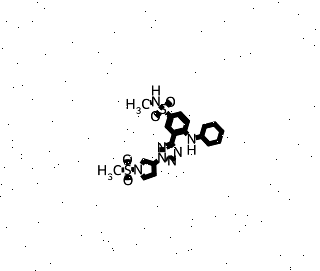 CNS(=O)(=O)c1ccc(NC2CCCCC2)c(-c2nnn(C3CCN(S(C)(=O)=O)C3)n2)c1